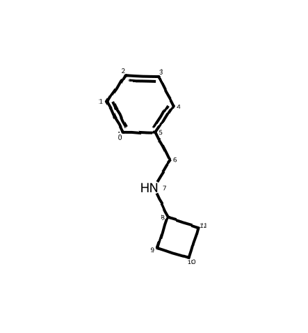 [c]1ccccc1CNC1CCC1